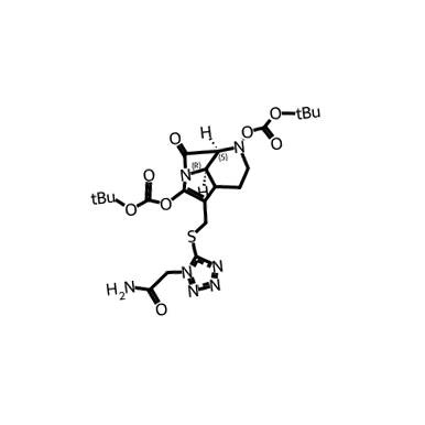 CC(C)(C)OC(=O)OC1=C(CSc2nnnn2CC(N)=O)C2CCN(OC(=O)OC(C)(C)C)[C@@H]3C(=O)N1[C@H]23